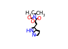 CC(C)N1C(=O)O/C(=C\c2c[nH]c3ncccc23)C1=O